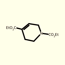 CCOC(=O)C1=CCN(C(=O)OCC)CC1